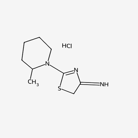 CC1CCCCN1C1=NC(=N)CS1.Cl